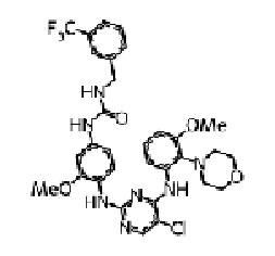 COc1cc(NC(=O)NCc2cccc(C(F)(F)F)c2)ccc1Nc1ncc(Cl)c(Nc2cccc(OC)c2N2CCOCC2)n1